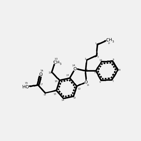 CCCCC1(c2ccccc2)Oc2ccc(CC(=O)O)c(CC)c2O1